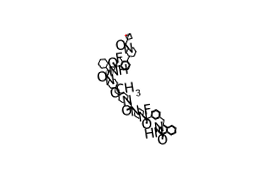 CC1(OC2CCN(CC(=O)N3CCN(C(=O)c4cc(Cc5n[nH]c(=O)c6ccccc56)ccc4F)CC3)CC2)CCN(C(=O)[C@H](NC(=O)c2cccc(C3CCCN(C(=O)C45CC(C4)C5)C3)c2F)C2CCCCC2)CC1